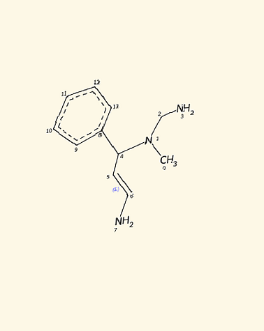 CN(CN)C(/C=C/N)c1ccccc1